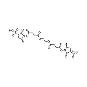 O=C(CCC(=O)ON1C(=O)CC([SH](=O)=O)C1=O)OCCOC(=O)CCC(=O)ON1C(=O)CC(S(=O)(=O)O)C1=O